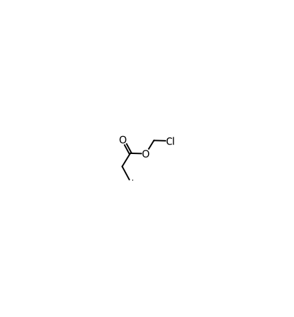 [CH2]CC(=O)OCCl